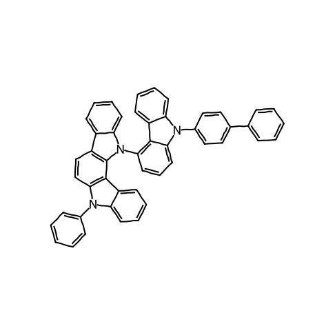 c1ccc(-c2ccc(-n3c4ccccc4c4c(-n5c6ccccc6c6ccc7c(c8ccccc8n7-c7ccccc7)c65)cccc43)cc2)cc1